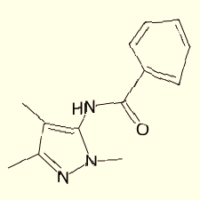 Cc1nn(C)c(NC(=O)c2ccccc2)c1C